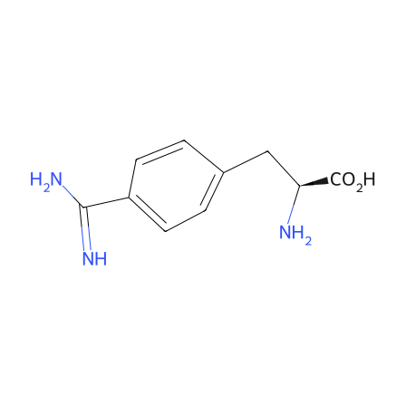 N=C(N)c1ccc(C[C@H](N)C(=O)O)cc1